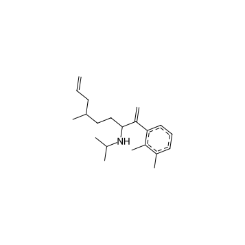 C=CCC(C)CCC(NC(C)C)C(=C)c1cccc(C)c1C